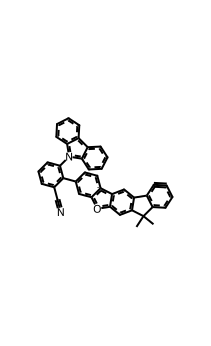 CC1(C)c2ccc#cc2-c2cc3c(cc21)oc1cc(-c2c(C#N)cccc2-n2c4ccccc4c4ccccc42)ccc13